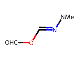 CNN=COC=O